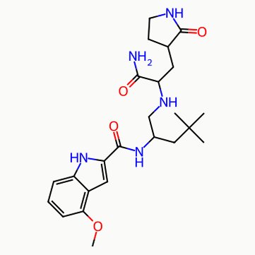 COc1cccc2[nH]c(C(=O)NC(CNC(CC3CCNC3=O)C(N)=O)CC(C)(C)C)cc12